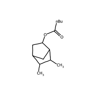 CCCCC(=O)OC1CC2CC1C(C)C2C